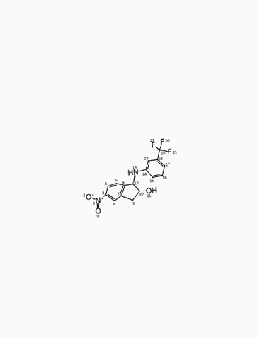 O=[N+]([O-])c1ccc2c(c1)C[C@@H](O)[C@@H]2Nc1cccc(C(F)(F)F)c1